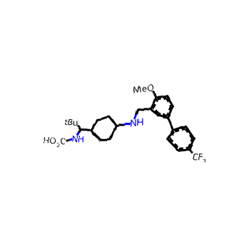 COc1ccc(-c2ccc(C(F)(F)F)cc2)cc1CNC1CCC(C(NC(=O)O)C(C)(C)C)CC1